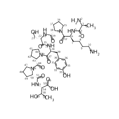 C[C@H](N)C(=O)N[C@@H](CCCCN)C(=O)N1CCC[C@H]1C(=O)N[C@@H](CO)C(=O)N[C@@H](Cc1ccc(O)cc1)C(=O)N1CCC[C@H]1C(=O)N1CCC[C@H]1C(=O)N[C@H](C(=O)O)[C@@H](C)O